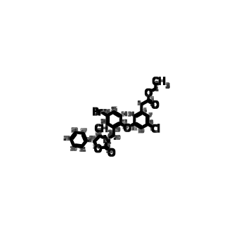 CCOC(=O)Cc1cc(Cl)cc(Oc2ccc(Br)cc2CN2C(=O)O[C@H](c3ccccc3)[C@@H]2C)c1